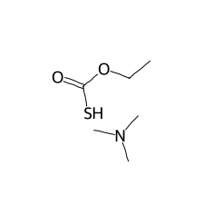 CCOC(=O)S.CN(C)C